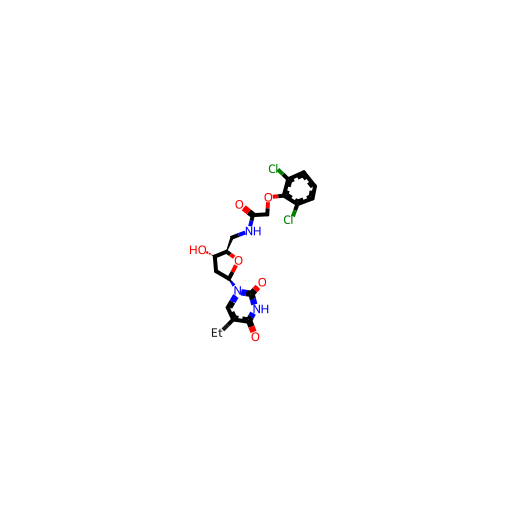 CCc1cn([C@H]2C[C@H](O)[C@@H](CNC(=O)COc3c(Cl)cccc3Cl)O2)c(=O)[nH]c1=O